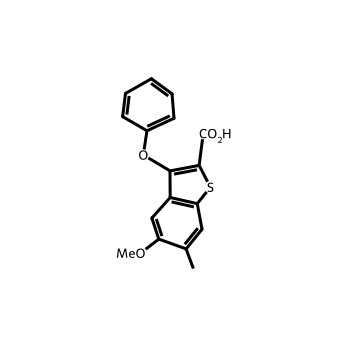 COc1cc2c(Oc3ccccc3)c(C(=O)O)sc2cc1C